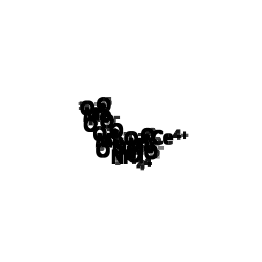 [Ce+4].[NH4+].[NH4+].[O]=[Mo](=[O])([O-])[O-].[O]=[Mo](=[O])([O-])[O-].[O]=[Mo](=[O])([O-])[O-]